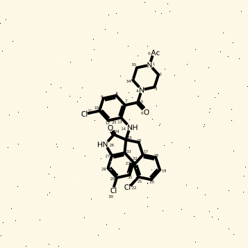 CC(=O)N1CCN(C(=O)c2ccc(Cl)cc2NC2(Cc3cccc(Cl)c3)C(=O)Nc3cc(Cl)ccc32)CC1